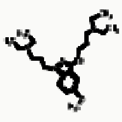 CCN(CC)CCCNc1nn(CCCN(CC)CC)c2ccc(OC)cc12